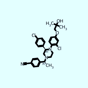 C[C@H](c1ccc(C#N)cc1)N1CCN(c2ccc(OCC(C)(C)O)cc2Cl)[C@H](c2ccc(Cl)cc2)C1